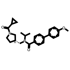 COc1ccc(-c2ccc(C(=O)N(C[C@@H]3CCN(C(=O)C4CC4)C3)C(C)C)cc2)cc1